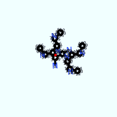 N#Cc1cccc(-c2cc(-n3c4ccc(-c5ccnc(-c6ccccc6)c5)cc4c4cc(-c5ccnc(-c6ccccc6)c5)ccc43)c(C#N)cc2-n2c3ccc(-c4ccnc(-c5ccccc5)c4)cc3c3cc(-c4ccnc(-c5ccccc5)c4)ccc32)c1